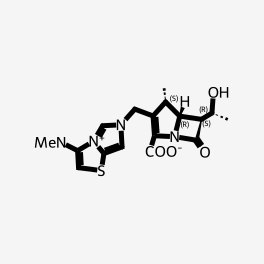 CNc1csc2cn(CC3=C(C(=O)[O-])N4C(=O)[C@H]([C@@H](C)O)[C@H]4[C@H]3C)c[n+]12